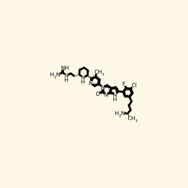 Cc1cc(-n2cc3cc(-c4cc(CCC[C@H](C)N)cc(Cl)c4F)[nH]c3nc2=O)cnc1[C@@H]1CCC[C@@H](CCNC(=N)N)N1